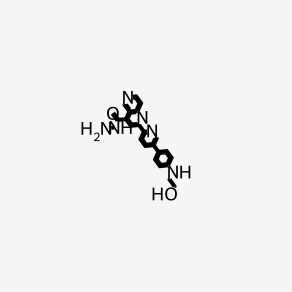 NNC(=O)c1cc(-c2ccc(-c3ccc(NCCO)cc3)cn2)nc2ccncc12